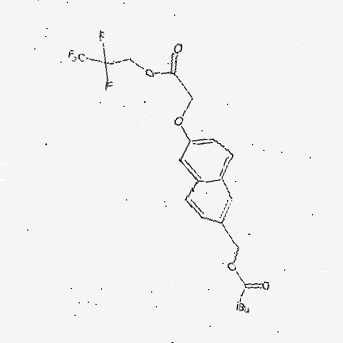 CCC(C)C(=O)OCc1ccc2cc(OCC(=O)OCC(F)(F)C(F)(F)F)ccc2c1